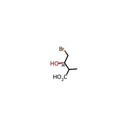 CC(C(=O)O)[C@@H](O)CBr